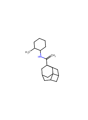 C=C(NC1CCCCC1C)C12CC3CC4CC(C1)C4(C3)C2